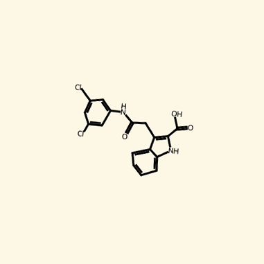 O=C(Cc1c(C(=O)O)[nH]c2ccccc12)Nc1cc(Cl)cc(Cl)c1